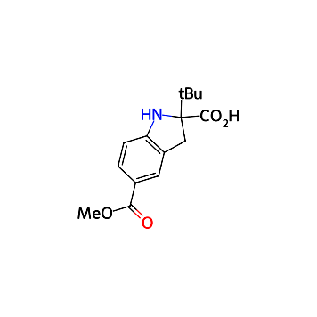 COC(=O)c1ccc2c(c1)CC(C(=O)O)(C(C)(C)C)N2